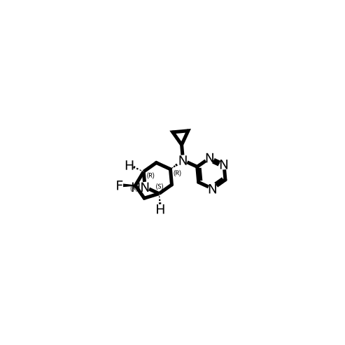 F[C@@H]1C[C@@H]2C[C@@H](N(c3cncnn3)C3CC3)C[C@H]1N2